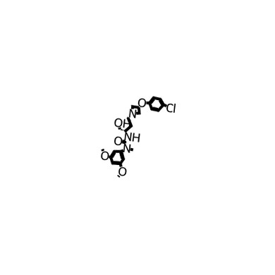 COc1cc(OC)cc(N(C)C(=O)N[C@H](CO)CCN2CC(Oc3ccc(Cl)cc3)C2)c1